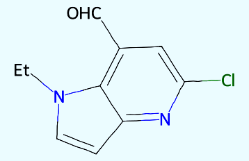 CCn1ccc2nc(Cl)cc(C=O)c21